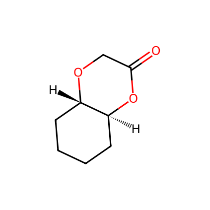 O=C1CO[C@H]2CCCC[C@@H]2O1